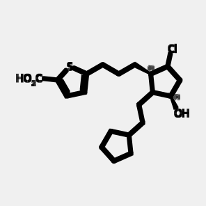 O=C(O)c1ccc(CCC[C@H]2C(Cl)C[C@@H](O)C2CCC2CCCC2)s1